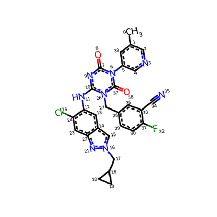 Cc1cncc(-n2c(=O)nc(Nc3cc4cn(CC5CC5)nc4cc3Cl)n(Cc3ccc(F)c(C#N)c3)c2=O)c1